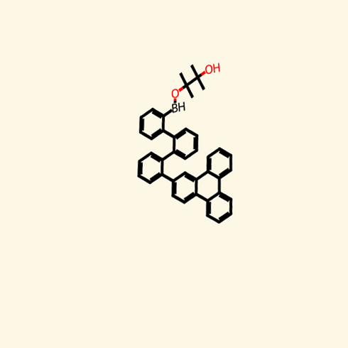 CC(C)(O)C(C)(C)OBc1ccccc1-c1ccccc1-c1ccccc1-c1ccc2c3ccccc3c3ccccc3c2c1